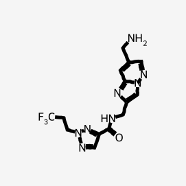 NCc1cnn2cc(CNC(=O)c3cnn(CCC(F)(F)F)n3)nc2c1